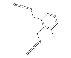 O=C=NCc1cccc(Cl)c1CN=C=O